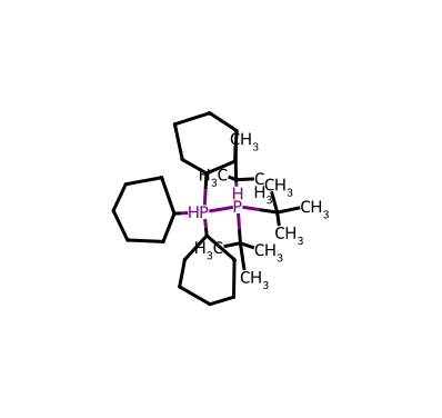 CC(C)(C)[PH](C(C)(C)C)(C(C)(C)C)[PH](C1CCCCC1)(C1CCCCC1)C1CCCCC1